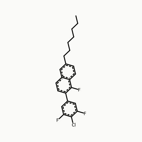 CCCCCCCc1ccc2c(F)c(-c3cc(F)c(Cl)c(F)c3)ccc2c1